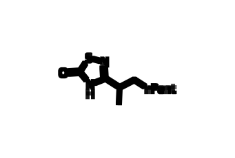 CCCCCCC(C)c1nsc(=O)[nH]1